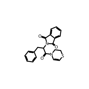 O=C(C(Cc1ccccc1)N1C(=O)c2ccccc2C1=O)N1C=CSCC1